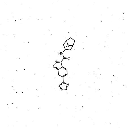 CN1C2CCC1CC(NC(=O)C1=NN=C3CC(c4nccs4)=CC=C31)C2